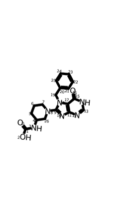 O=C(O)NC1CCCN(c2nc3nc[nH]c(=O)c3n2Cc2ccccc2)C1